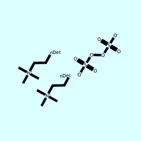 CCCCCCCCCCCC[N+](C)(C)C.CCCCCCCCCCCC[N+](C)(C)C.O=S(=O)([O-])OOS(=O)(=O)[O-]